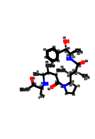 CCC(C)C(N[C@H](C(=O)NC)C(C)C)C(CC(=O)N1CCC[C@H]1[C@H](OC)[C@@H](C)C(=O)N[C@H](C)[C@@H](O)c1ccccc1)OC